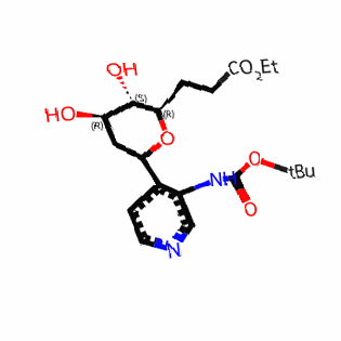 CCOC(=O)CC[C@H]1OC(c2ccncc2NC(=O)OC(C)(C)C)C[C@@H](O)[C@@H]1O